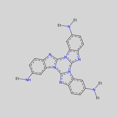 CCNc1ccc2nc3n(c2c1)c1nc2ccc(N(CC)CC)cc2n1c1nc2ccc(N(CC)CC)cc2n31